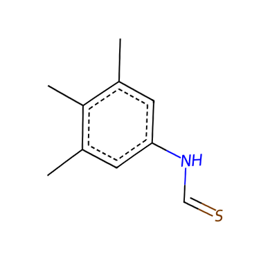 Cc1cc(NC=S)cc(C)c1C